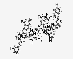 CCN(Cc1ccc(F)c(-c2ccnc(N(CCc3cc(F)cc(F)c3)C(c3cccc(-c4ccnc(N(CCc5cc(F)cc(F)c5)C(c5cccc(-c6ccnc(NCCc7cc(F)cc(F)c7)n6)c5)N5C[C@H](C)NC[C@@H]5C)n4)c3)C(C[C@H]3CCNC3)S(C)(=O)=O)n2)c1)C[C@H]1CCCNC1